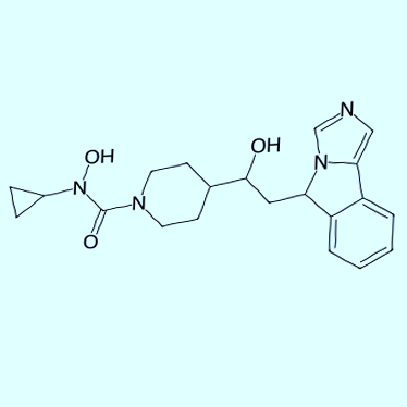 O=C(N1CCC(C(O)CC2c3ccccc3-c3cncn32)CC1)N(O)C1CC1